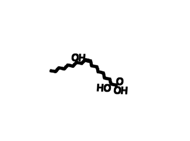 CCCCCCC(O)C/C=C\CCCCCCC(O)C(=O)O